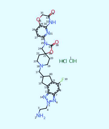 Cl.Cl.NCCn1nc2cc(F)c3c(c2n1)CC(CN1CCC2(CC1)CN(c1ccc4c(n1)NC(=O)CO4)C(=O)O2)C3